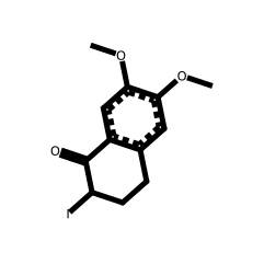 COc1cc2c(cc1OC)C(=O)C(I)CC2